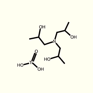 CC(O)CN(CC(C)O)CC(C)O.[O]=[Ti]([OH])[OH]